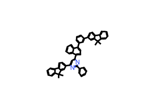 CC1(C)c2ccccc2-c2ccc(-c3cccc(-c4ccc(-c5cc(-c6ccc7c(c6)C(C)(C)c6ccccc6-7)nc(-c6ccccc6)n5)c5ccccc45)c3)cc21